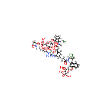 O=C(CCCCCN1C(=O)C=CC1=O)NCCC(=O)Nc1cc(/C=C/C(=O)N2C[C@@H](CCl)c3c2cc(O[C@H]2C[C@@H](O)[C@H](O)[C@@H](C(=O)O)O2)c2ccccc32)ccc1/C=C/C(=O)N1CC(CCl)c2c1cc(O[C@@H]1O[C@H](C(=O)O)[C@@H](O)[C@H](O)[C@H]1O)c1ccccc21